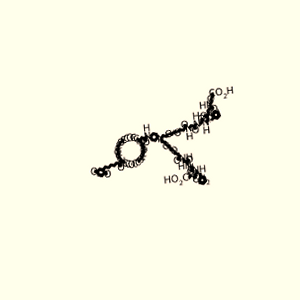 C=C(NCC(=O)O)[C@H](Cc1ccccc1)NC(=O)CNC(=O)CNC(=O)CCOCCOCCN(CCOCCOCCC(=O)NCC(=O)NCC(=O)N[C@@H](Cc1ccccc1)C(=O)NCC(=O)NCOCC(=O)O)C1CCC(NC(=O)CN2CCOCCOCCOCCN(C(=O)CCCCCC3=CC(=O)C=CC3=O)CCOCCOCCOCC2)CC1